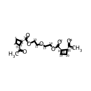 CC(=O)[C@H]1CC[C@@H]1C(=O)OCCOCCOC(=O)[C@@H]1CC[C@H]1C(C)=O